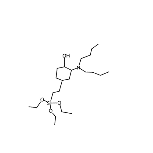 CCCCN(CCCC)C1CC(CC[Si](OCC)(OCC)OCC)CCC1O